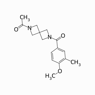 COc1ccc(C(=O)N2CC3(CN(C(C)=O)C3)C2)cc1C